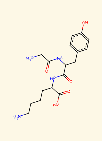 NCCCCC(NC(=O)C(Cc1ccc(O)cc1)NC(=O)CN)C(=O)O